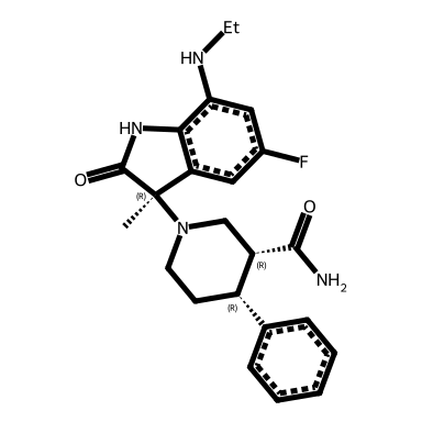 CCNc1cc(F)cc2c1NC(=O)[C@]2(C)N1CC[C@@H](c2ccccc2)[C@@H](C(N)=O)C1